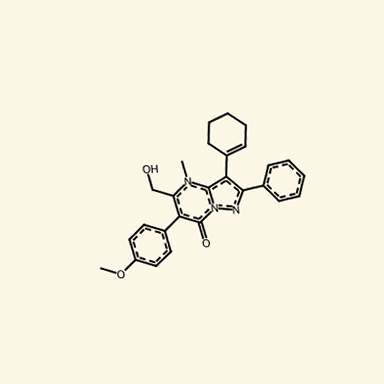 COc1ccc(-c2c(CO)n(C)c3c(C4=CCCCC4)c(-c4ccccc4)nn3c2=O)cc1